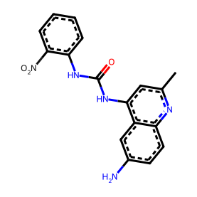 Cc1cc(NC(=O)Nc2ccccc2[N+](=O)[O-])c2cc(N)ccc2n1